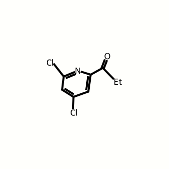 CCC(=O)c1cc(Cl)cc(Cl)n1